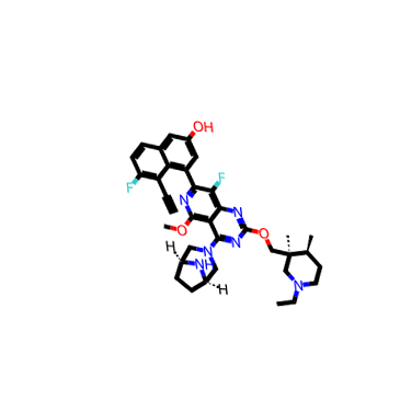 C#Cc1c(F)ccc2cc(O)cc(-c3nc(OC)c4c(N5C[C@H]6CC[C@@H](C5)N6)nc(OC[C@]5(C)CN(CC)CC[C@@H]5C)nc4c3F)c12